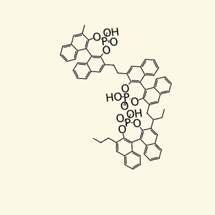 CCCc1cc2ccccc2c2c1OP(=O)(O)Oc1c(C(CC)Cc3cc4ccccc4c4c3OP(=O)(O)Oc3c(CCc5cc6ccccc6c6c5OP(=O)(O)Oc5c(C)cc7ccccc7c5-6)cc5ccccc5c3-4)cc3ccccc3c1-2